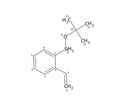 C=Cc1ccccc1[SiH2]OC(C)(C)C